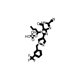 CCCC(OP(=O)(O)O)n1c(-c2cnn(Cc3cccc(C(F)(F)F)c3)c2)nc2nc(C#N)[nH]c(=O)c21